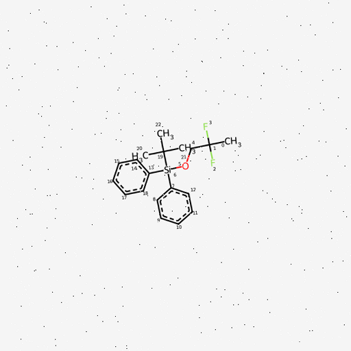 CC(F)(F)CO[Si](c1ccccc1)(c1ccccc1)C(C)(C)C